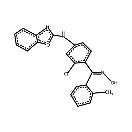 Cc1ccccc1C(=NO)c1ccc(Nc2nc3ccccc3o2)cc1Cl